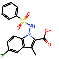 Cc1c(C(=O)O)n(NS(=O)(=O)c2ccccc2)c2ccc(Cl)cc12